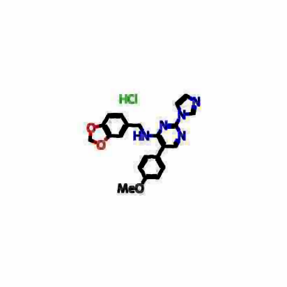 COc1ccc(-c2cnc(-n3ccnc3)nc2NCc2ccc3c(c2)OCO3)cc1.Cl